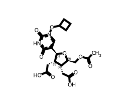 CC(=O)OC[C@@H]1O[C@H](c2cn(OC3CCC3)c(=O)[nH]c2=O)[C@@H](CC(=O)O)[C@H]1CC(=O)O